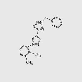 Cc1cccc(-n2cc(-c3nnn(Cc4ccccc4)n3)cn2)c1C